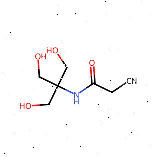 N#CCC(=O)NC(CO)(CO)CO